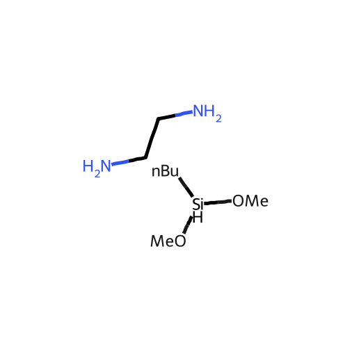 CCCC[SiH](OC)OC.NCCN